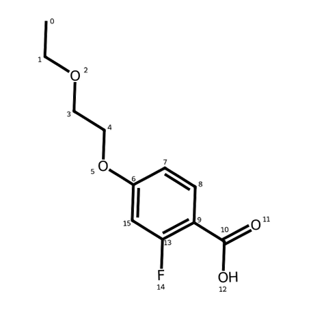 CCOCCOc1ccc(C(=O)O)c(F)c1